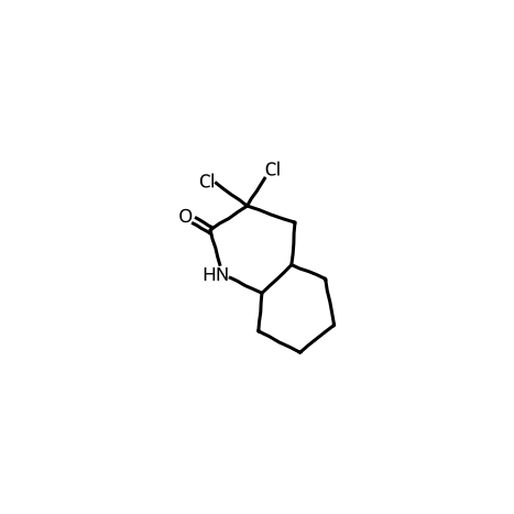 O=C1NC2CCCCC2CC1(Cl)Cl